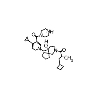 C[C@H](CC1CCC1)C(=O)N1CC[C@](O)(CN2C=C(C(=O)N3CCNCC3)C(C3CC3)=CC2)C2(CCCC2)C1